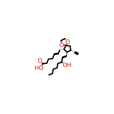 C#C[C@H]1CC2(OCCO2)[C@@H](CC=CCCCC(=O)O)[C@@H]1C=CC(O)CCCCC